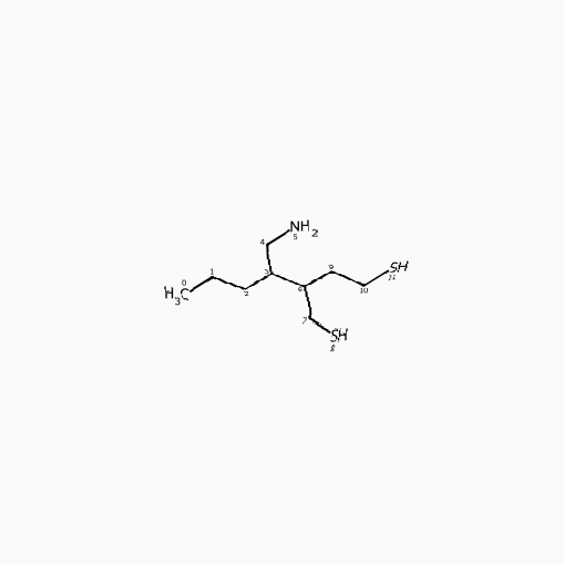 CCCC(CN)C(CS)CCS